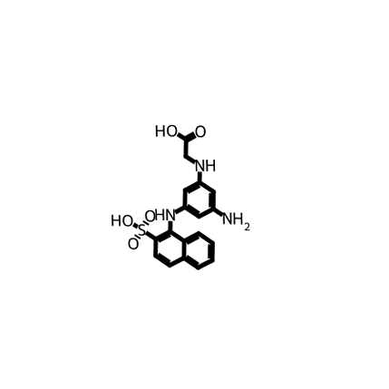 Nc1cc(NCC(=O)O)cc(Nc2c(S(=O)(=O)O)ccc3ccccc23)c1